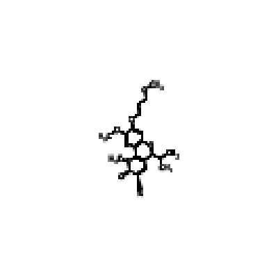 COCCCOc1cc2c(nc1OC)-c1c(cc(C#N)c(=O)n1C)C(C(C)C)O2